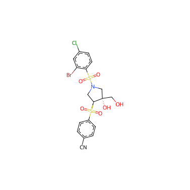 N#Cc1ccc(S(=O)(=O)[C@H]2CN(S(=O)(=O)c3ccc(Cl)cc3Br)C[C@@]2(O)CO)cc1